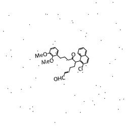 COc1cccc(CCCC(=O)C(CCC=CC=O)c2c(Cl)ccc3ccccc23)c1OC